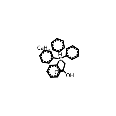 O=C(O)C[SH](c1ccccc1)(c1ccccc1)(c1ccccc1)c1ccccc1.[CaH2]